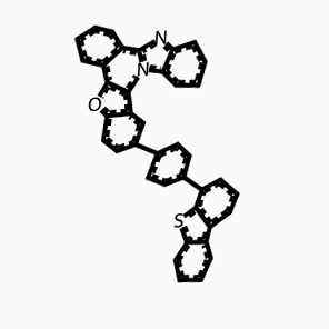 c1ccc2c(c1)nc1c3ccccc3c3oc4ccc(-c5ccc(-c6cccc7c6sc6ccccc67)cc5)cc4c3n21